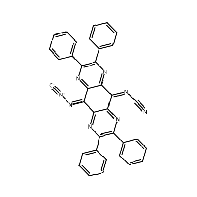 [C-]#[N+]N=C1c2nc(-c3ccccc3)c(-c3ccccc3)nc2C(=NC#N)c2nc(-c3ccccc3)c(-c3ccccc3)nc21